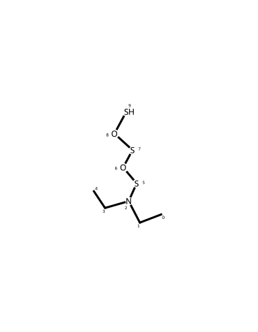 CCN(CC)SOSOS